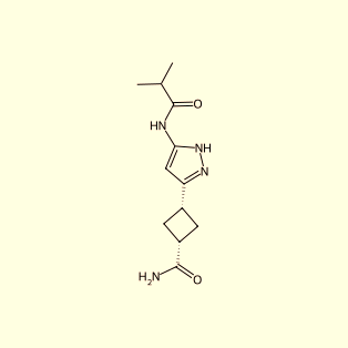 CC(C)C(=O)Nc1cc([C@H]2C[C@@H](C(N)=O)C2)n[nH]1